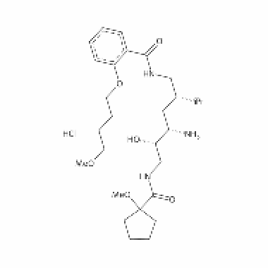 COCCCCOc1ccccc1C(=O)NC[C@@H](C[C@H](N)[C@@H](O)CNC(=O)C1(OC)CCCC1)C(C)C.Cl